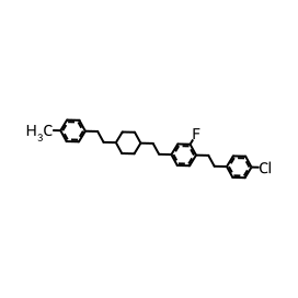 Cc1ccc(CCC2CCC(CCc3ccc(CCc4ccc(Cl)cc4)c(F)c3)CC2)cc1